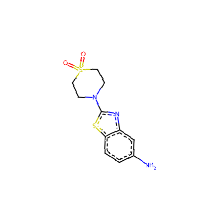 Nc1ccc2sc(N3CCS(=O)(=O)CC3)nc2c1